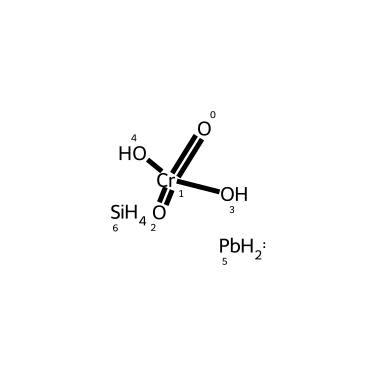 [O]=[Cr](=[O])([OH])[OH].[PbH2].[SiH4]